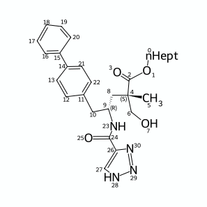 CCCCCCCOC(=O)[C@](C)(CO)C[C@@H](Cc1ccc(-c2ccccc2)cc1)NC(=O)c1c[nH]nn1